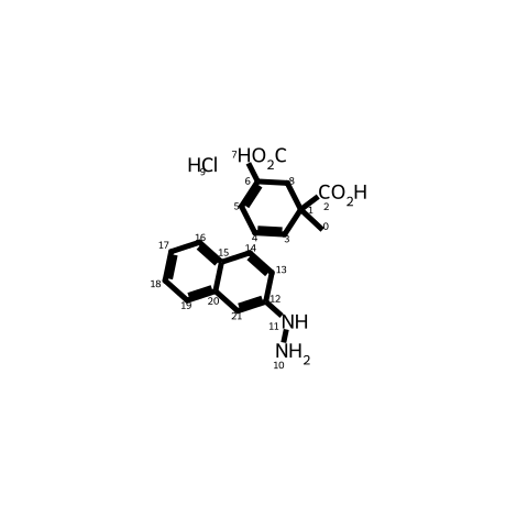 CC1(C(=O)O)C=CC=C(C(=O)O)C1.Cl.NNc1ccc2ccccc2c1